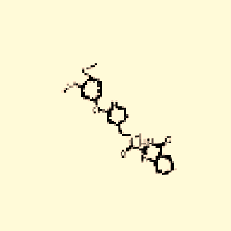 COc1ccc(Oc2cc(CNC(=O)c3nc4ccccc4c(=O)[nH]3)ccn2)cc1OC